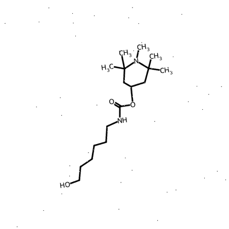 CN1C(C)(C)CC(OC(=O)NCCCCCCO)CC1(C)C